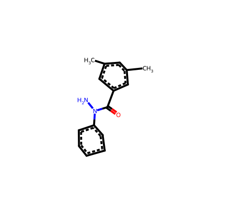 Cc1cc(C)cc(C(=O)N(N)c2ccccc2)c1